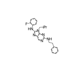 CC(C)Cn1c(Nc2ccccc2F)nc2cnc(NCCc3ccccc3)nc21